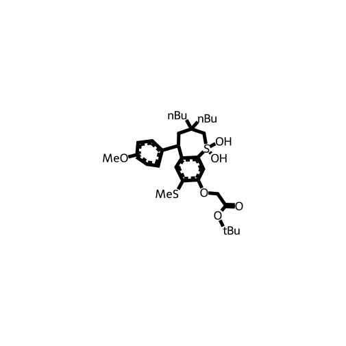 CCCCC1(CCCC)CC(c2ccc(OC)cc2)c2cc(SC)c(OCC(=O)OC(C)(C)C)cc2S(O)(O)C1